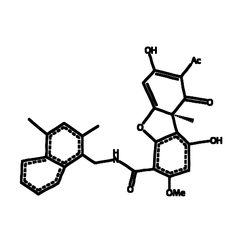 COc1cc(O)c2c(c1C(=O)NCc1c(C)cc(C)c3ccccc13)OC1=CC(O)=C(C(C)=O)C(=O)[C@]12C